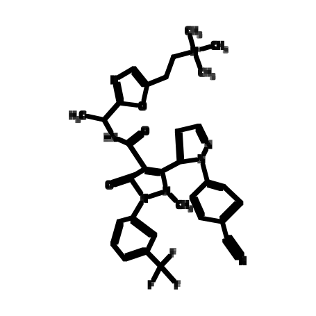 CC(NC(=O)c1c(-c2ccnn2-c2ccc(C#N)cc2)n(C)n(-c2cccc(C(F)(F)F)c2)c1=O)c1ncc(CC[N+](C)(C)C)o1